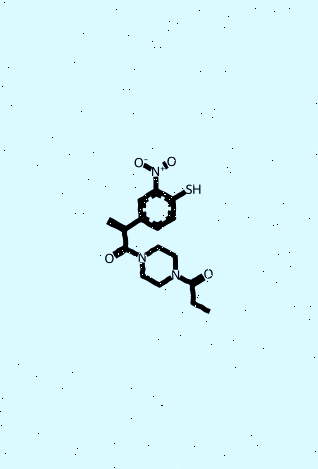 C=C(C(=O)N1CCN(C(=O)CC)CC1)c1ccc(S)c([N+](=O)[O-])c1